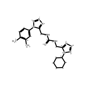 Cc1ccc(-n2nnnc2CNC(=O)NCc2nnnn2C2CCCCC2)cc1C